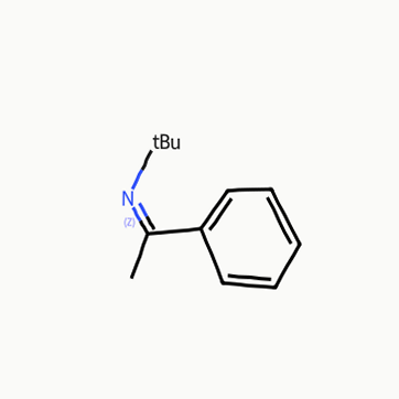 C/C(=N/C(C)(C)C)c1ccccc1